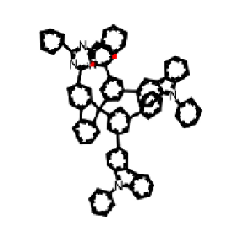 c1ccc(-c2cc(-c3ccc4c(c3)c3ccccc3n4-c3ccccc3)cc(C3(c4cc(-c5ccccc5)cc(-c5ccc6c(c5)c5ccccc5n6-c5ccccc5)c4)c4ccccc4-c4ccc(-c5nc(-c6ccccc6)nc(-c6ccccc6)n5)cc43)c2)cc1